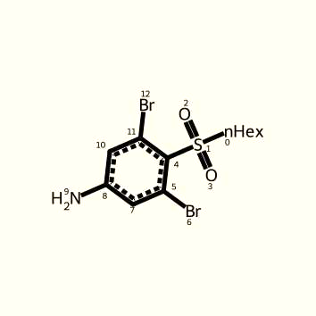 CCCCCCS(=O)(=O)c1c(Br)cc(N)cc1Br